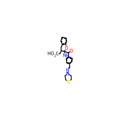 NC1(C(=O)c2ccc(C=NN3CCSCC3)cc2)Oc2ccccc2CC1CC(=O)O